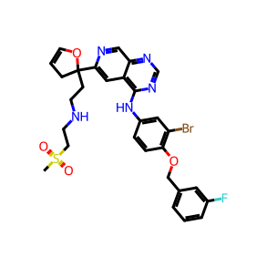 CS(=O)(=O)CCNCCC1(c2cc3c(Nc4ccc(OCc5cccc(F)c5)c(Br)c4)ncnc3cn2)CC=CO1